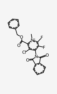 C[n+]1c(F)c(F)c(N2C(=O)c3ccccc3C2=O)c(Cl)c1C(=O)OCc1ccccc1